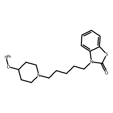 CCCOC1CCN(CCCCCn2c(=O)sc3ccccc32)CC1